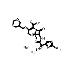 CO/N=C(\C(=O)NC1C(=O)N2C(C(=O)[O-])=C(SCC3COCOC3)CS[C@@H]12)c1csc(N)n1.[Na+]